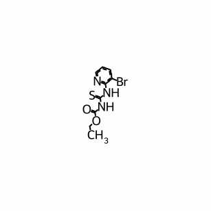 CCOC(=O)NC(=S)Nc1ncccc1Br